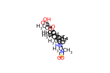 CC1([C@@H]2CC[C@]3(NCC(C)(C)N4CCS(=O)(=O)CC4)CC[C@]4(C)[C@H](CC[C@@H]5[C@@]6(C)CC[C@H](OC(=O)[C@H]7C[C@@H](C(=O)O)C7(C)C)C(C)(C)[C@@H]6CC[C@]54C)[C@@H]23)CC1